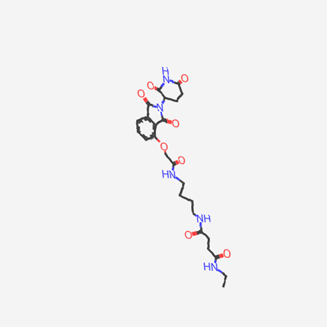 CCNC(=O)CCC(=O)NCCCCNC(=O)COc1cccc2c1C(=O)N(C1CCC(=O)NC1=O)C2=O